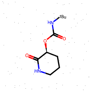 CC(C)(C)NC(=O)O[C@H]1CCCNC1=O